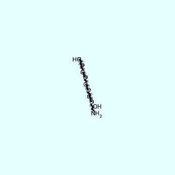 NCCC(O)COCCOCCOCCOCCOCCOCCOCCO